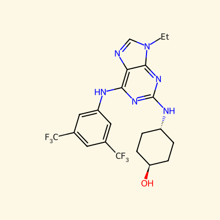 CCn1cnc2c(Nc3cc(C(F)(F)F)cc(C(F)(F)F)c3)nc(N[C@H]3CC[C@H](O)CC3)nc21